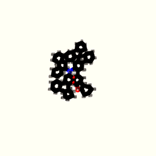 c1ccc2c(c1)-c1ccccc1C21c2ccccc2-c2cc(-c3ccc4oc5ccccc5c4c3)c(N(c3ccc4c5ccccc5c5ccccc5c4c3)c3cc4ccccc4c4ccccc34)cc21